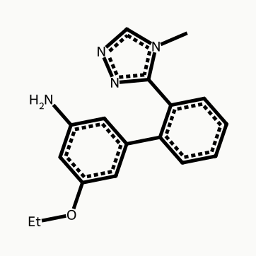 CCOc1cc(N)cc(-c2ccccc2-c2nncn2C)c1